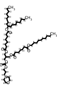 CCCCCCCCCCOC(=O)CCCCCC(=O)OCC(COC(=O)CCCCCCC(=O)OC(CCCCCCCC)CCCCCCCC)COC(=O)OCCCN1CCOCC1